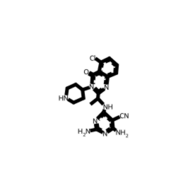 CC(Nc1nc(N)nc(N)c1C#N)c1nc2cccc(Cl)c2c(=O)n1C1CCNCC1